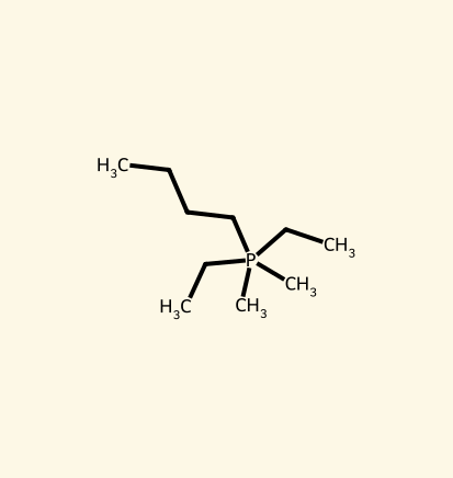 CCCCP(C)(C)(CC)CC